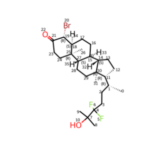 C[C@H](CCC(F)(F)C(C)(C)O)[C@H]1CC[C@H]2[C@@H]3CC[C@@H]4[C@@H](Br)C(=O)CC[C@]4(C)[C@H]3CC[C@]12C